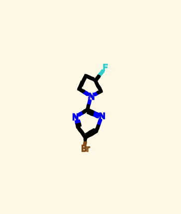 FC1CCN(c2ncc(Br)cn2)C1